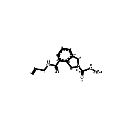 C=CCNC(=O)c1cccc2c1CN(C(=O)OC(C)(C)C)C2